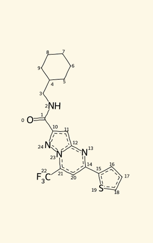 O=C(NCC1CCCCC1)c1cc2nc(-c3cccs3)cc(C(F)(F)F)n2n1